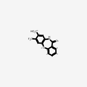 O=C1Nc2cc(C(=O)O)c(C(F)(F)F)cc2Oc2ccccc21